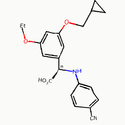 CCOc1cc(OCC2CC2)cc([C@@H](Nc2ccc(C#N)cc2)C(=O)O)c1